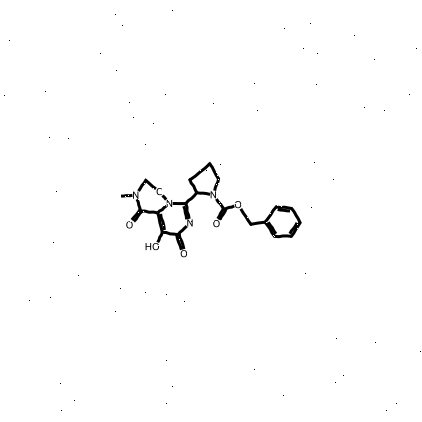 CN1CCn2c(C3CCCN3C(=O)OCc3ccccc3)nc(=O)c(O)c2C1=O